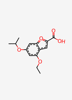 CCOc1cc(OC(C)C)cc2oc(C(=O)O)cc12